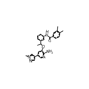 Cc1ccc(C(=O)Nc2cccc(C(C)Oc3cc(-c4cnn(C)c4)cnc3N)c2)cc1C